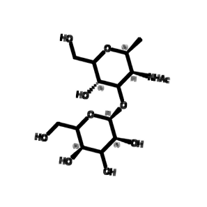 CC(=O)N[C@H]1C(O[C@@H]2OC(CO)[C@H](O)C(O)[C@@H]2O)[C@H](O)C(CO)O[C@H]1C